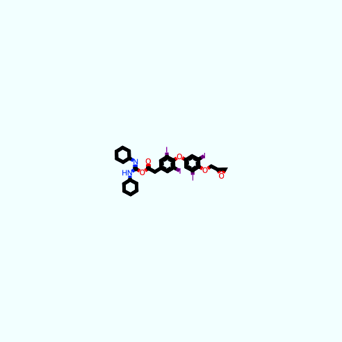 O=C(Cc1cc(I)c(Oc2cc(I)c(OCC3CO3)c(I)c2)c(I)c1)O/C(=N/C1CCCCC1)NC1CCCCC1